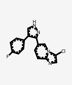 Fc1ccc(-c2c[nH]nc2-c2ccc3ncc(Cl)n3c2)cc1